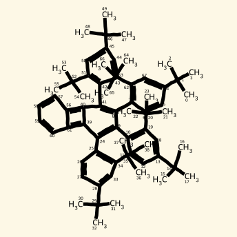 CC(C)(C)c1ccc(-c2c(-c3ccc(C(C)(C)C)cc3C(C)(C)C)c(-c3ccc(C(C)(C)C)cc3C(C)(C)C)c3c(c2-c2ccc(C(C)(C)C)cc2C(C)(C)C)=c2ccccc2=3)c(C(C)(C)C)c1